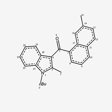 CCCCn1c(C)c(C(=O)c2cccc3ccc(C)cc23)c2ccccc21